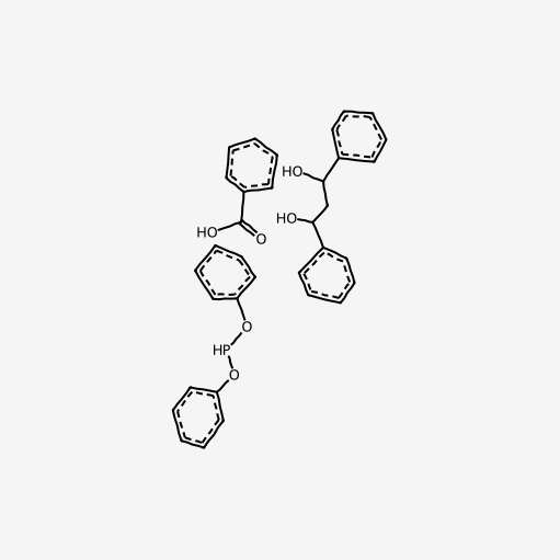 O=C(O)c1ccccc1.OC(CC(O)c1ccccc1)c1ccccc1.c1ccc(OPOc2ccccc2)cc1